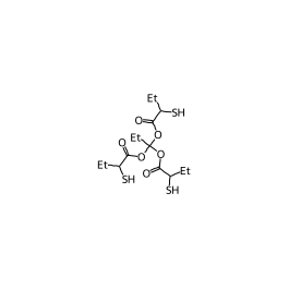 CCC(S)C(=O)OC(CC)(OC(=O)C(S)CC)OC(=O)C(S)CC